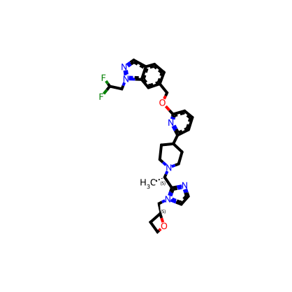 C[C@@H](c1nccn1C[C@@H]1CCO1)N1CCC(c2cccc(OCc3ccc4cnn(CC(F)F)c4c3)n2)CC1